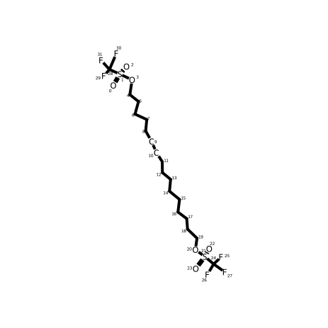 O=S(=O)(OCCCCCCCCCCCCCCCCOS(=O)(=O)C(F)(F)F)C(F)(F)F